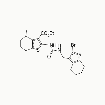 CCOC(=O)c1c(NC(=O)NCc2c(Br)sc3c2CCCC3)sc2c1C(C)CCC2